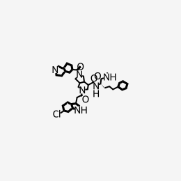 CNC(=O)[C@H](CCCc1ccccc1)NC(=O)C1CN(C(=O)Cc2c[nH]c3cc(Cl)ccc23)CC2CN(C(=O)c3ccc4cnccc4c3)CC21